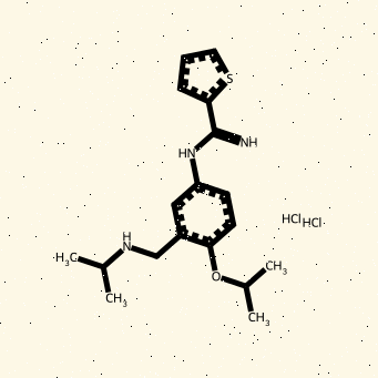 CC(C)NCc1cc(NC(=N)c2cccs2)ccc1OC(C)C.Cl.Cl